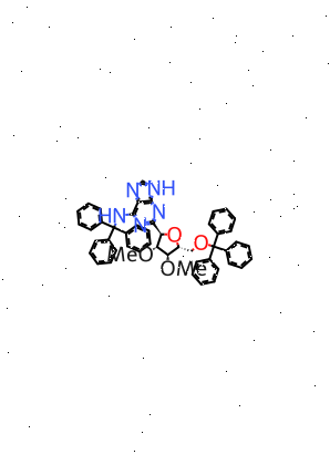 CO[C@H]1[C@H](OC)[C@@H](COC(c2ccccc2)(c2ccccc2)c2ccccc2)O[C@@H]1c1nc(NC(c2ccccc2)(c2ccccc2)c2ccccc2)c2nc[nH]c2n1